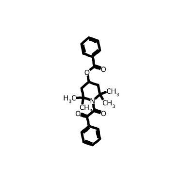 CC1(C)CC(OC(=O)c2ccccc2)CC(C)(C)N1C(=O)C(=O)c1ccccc1